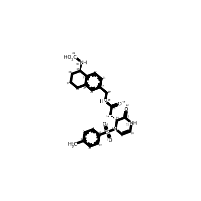 Cc1ccc(S(=O)(=O)N2C=CNC(=O)[C@H]2CC(=O)NCc2ccc3c(c2)CCC[C@H]3NC(=O)O)cc1